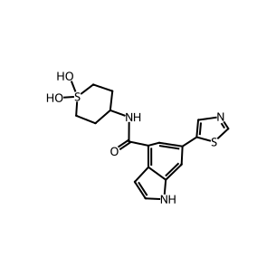 O=C(NC1CCS(O)(O)CC1)c1cc(-c2cncs2)cc2[nH]ccc12